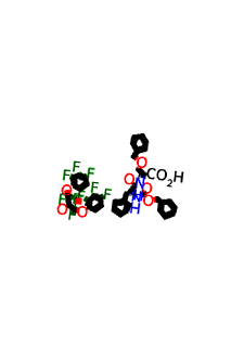 O=C(C(F)(F)Oc1ccc(F)c(F)c1F)C(F)(F)Oc1ccc(F)c(F)c1F.O=C(N[C@@H](Cc1ccccc1)C(=O)N[C@@H](COCc1ccccc1)C(=O)O)OCc1ccccc1